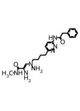 CNC(=O)/C(N)=C/N(N)CCCCc1ccc(NC(=O)Cc2ccccc2)nn1